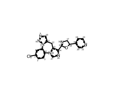 Clc1ccc2c(c1)-n1nncc1Cc1c(C3=NCC(c4ccncc4)O3)ncn1-2